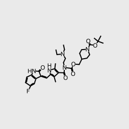 CCN(CC)CCN(C(=O)OCC1CCN(C(=O)OC(C)(C)C)CC1)C(=O)c1c(C)[nH]c(C=C2C(=O)Nc3ccc(F)cc32)c1C